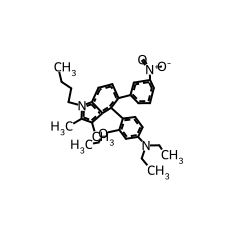 CCCCn1c(C)c(C)c2c(-c3ccc(N(CC)CC)cc3OCC)c(-c3cccc([N+](=O)[O-])c3)ccc21